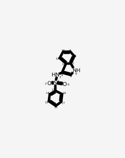 O=S(=O)(Nc1c[nH]c2ccccc12)c1ccccc1